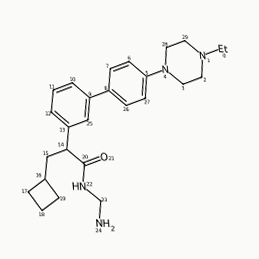 CCN1CCN(c2ccc(-c3cccc(C(CC4CCC4)C(=O)NCN)c3)cc2)CC1